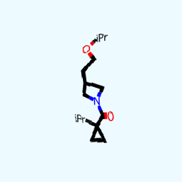 CC(C)OCCC1CN(C(=O)C2(C(C)C)CC2)C1